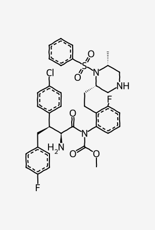 COC(=O)N(C(=O)[C@@H](N)[C@@H](Cc1ccc(F)cc1)c1ccc(Cl)cc1)c1cccc(F)c1CC[C@H]1CNC[C@@H](C)N1S(=O)(=O)c1ccccc1